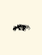 Cn1c(Nc2cc(C(C)(C)C)n([C@H]3COC[C@@H]3O)n2)nc2ncc(Oc3cnn4ccncc34)c(C#N)c21